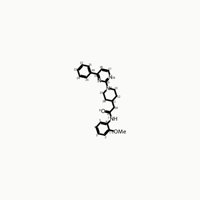 COc1ccccc1NC(=O)CC1CCN(c2nccc(-c3ccccc3)n2)CC1